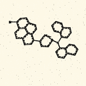 Brc1ccc2ccc3c(-c4ccc(N(c5cccc6ccccc56)c5cccc6ccccc56)cc4)ccc4ccc1c2c43